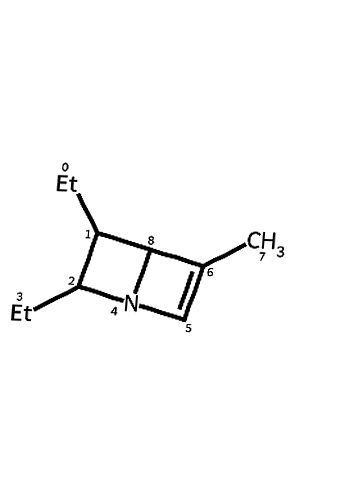 CCC1C(CC)N2C=C(C)C12